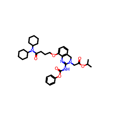 CC(C)OC(=O)CN1Cc2cccc(OCCCC(=O)N(C3CCCCC3)C3CCCCC3)c2N=C1NC(=O)Oc1ccccc1